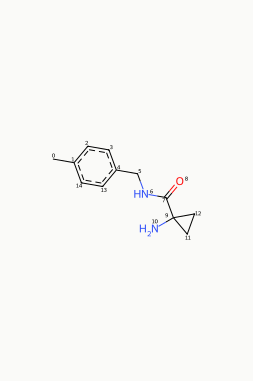 Cc1ccc(CNC(=O)C2(N)CC2)cc1